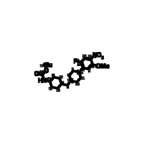 COc1cc(N2CCN(CC3CCC(NC(=O)OC(C)(C)C)CC3)CC2)c(F)cc1[N+](=O)[O-]